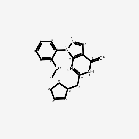 COc1ccccc1-n1ncc2c(=O)[nH]c(CC3C=CCC3)nc21